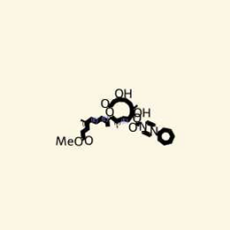 COC(=O)CC[C@@H](C)/C=C/C=C(\C)[C@H]1OC(=O)C[C@@H](O)CC[C@](C)(O)[C@H](OC(=O)N2CCN(C3CCCCCC3)CC2)/C=C/[C@@H]1C